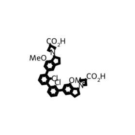 COc1cc(-c2cccc(-c3cccc(-c4cc5c(c(OC)c4)C(N4CC(C(=O)O)C4)CC5)c3Cl)c2Cl)cc2c1C(N1CC(C(=O)O)C1)CC2